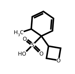 CC1C=CC=CC1(C1COC1)S(=O)(=O)O